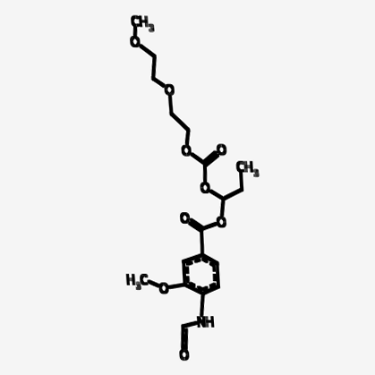 CCC(OC(=O)OCCOCCOC)OC(=O)c1ccc(NC=O)c(OC)c1